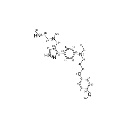 CCN(CCCOc1ccc(OC)cc1)c1ccc(-c2n[nH]cc2CN(C)CCNC)cc1